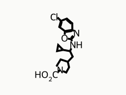 O=C(O)N1CCC(CC(Nc2nc3ccc(Cl)cc3o2)C2CC2)CC1